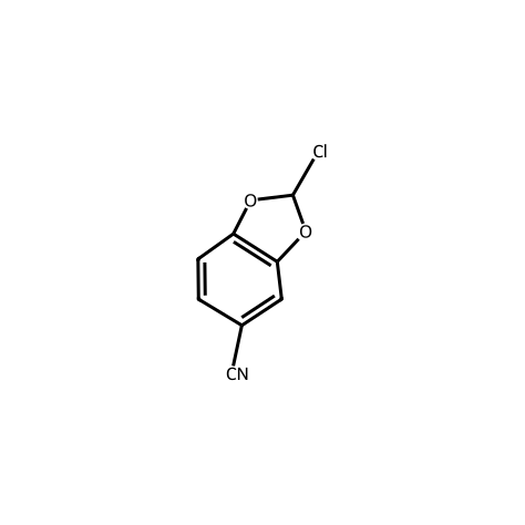 N#Cc1ccc2c(c1)OC(Cl)O2